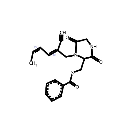 C#C/C(=C\C=C/C)CN1C(=O)CNC(=O)C1CSC(=O)c1ccccc1